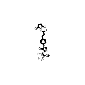 CC[C@@H]([C@H](C)O)n1ncn(-c2ccc(CCC(=O)ON3C(=O)CCC3=O)cc2)c1=O